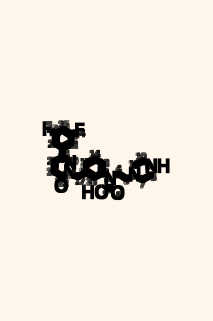 O=C(O)N(CCN1CCNCC1)c1cccc(Cn2nc(-c3cc(F)cc(F)c3)ccc2=O)c1